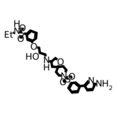 CCNS(=O)(=O)c1cccc(OC[C@@H](O)CNC2COC3(CCN(S(=O)(=O)c4cccc(-c5ccc(N)nc5)c4)CC3)C2)c1